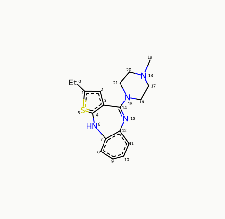 CCc1cc2c(s1)Nc1ccccc1N=C2N1CCN(C)CC1